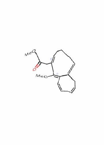 COC(=O)C1=C/CCC=C2CC=CC=C\C2=C\1OC